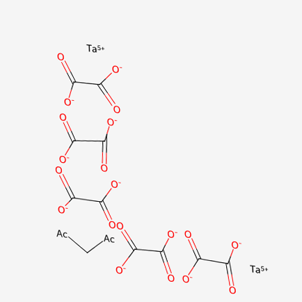 CC(=O)CC(C)=O.O=C([O-])C(=O)[O-].O=C([O-])C(=O)[O-].O=C([O-])C(=O)[O-].O=C([O-])C(=O)[O-].O=C([O-])C(=O)[O-].[Ta+5].[Ta+5]